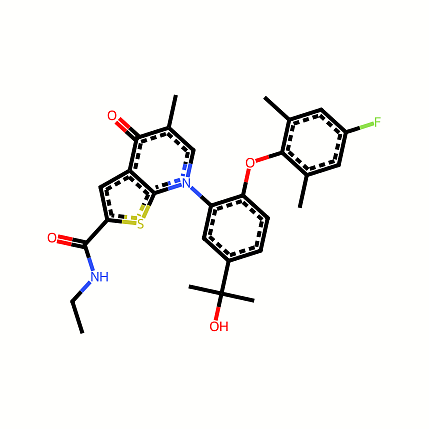 CCNC(=O)c1cc2c(=O)c(C)cn(-c3cc(C(C)(C)O)ccc3Oc3c(C)cc(F)cc3C)c2s1